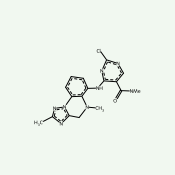 CNC(=O)c1cnc(Cl)nc1Nc1cccc2c1N(C)Cc1nc(C)nn1-2